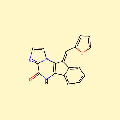 O=c1[nH]c2c3ccccc3/c(=C\c3ccco3)c2n2ccnc12